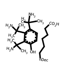 CC(C)(N)c1ccc(O)c(C(C)(C)N)c1C(C)(C)N.CCCCCCCCCCCCCCCC(=O)O